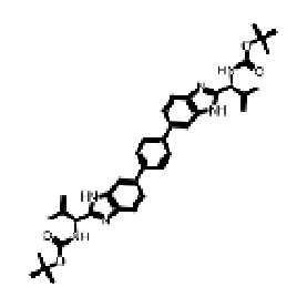 CC(C)[C@H](NC(=O)OC(C)(C)C)c1nc2ccc(-c3ccc(-c4ccc5nc([C@@H](NC(=O)OC(C)(C)C)C(C)C)[nH]c5c4)cc3)cc2[nH]1